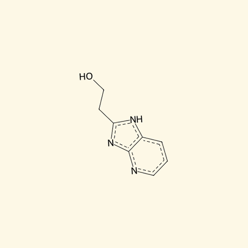 OCCc1nc2ncccc2[nH]1